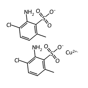 Cc1ccc(Cl)c(N)c1S(=O)(=O)[O-].Cc1ccc(Cl)c(N)c1S(=O)(=O)[O-].[Cu+2]